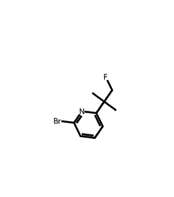 CC(C)(CF)c1cccc(Br)n1